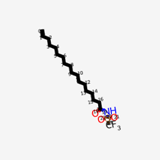 C=CCCCCCCCCCCCCCCCC(=O)NS(=O)(=O)C(F)(F)F